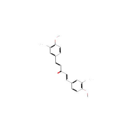 CCCCCCCCOc1ccc(C=CC(=O)C=Cc2ccc(OCCCCCCCC)c(OC)c2)cc1OC